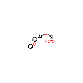 O=C(O)[C@H]1C[C@@H]1COCC1CC(c2cccc(Oc3ccccc3)c2)C1